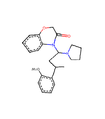 COc1ccccc1C(C)CC(N1CCCC1)N1C(=O)COc2ccccc21